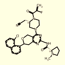 C=C(F)C(=O)N1CCN(c2nc(NC(=O)[C@@H]3CCCN3C)nc3c2COC(c2cccc4cccc(Cl)c24)C3)C[C@@H]1CC#N